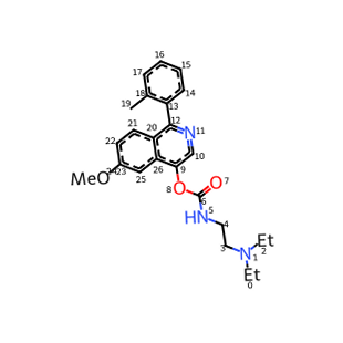 CCN(CC)CCNC(=O)Oc1cnc(-c2ccccc2C)c2ccc(OC)cc12